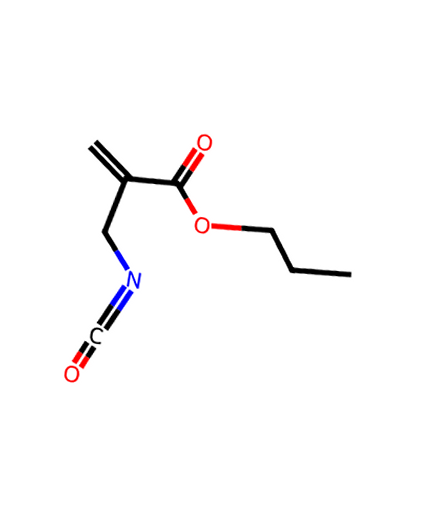 C=C(CN=C=O)C(=O)OCCC